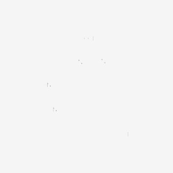 Oc1nccc(-c2c[nH]c3nccc(Oc4ccc(F)cc4)c23)n1